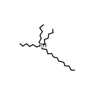 CCCCCCCCCCCC[PH](CCCCCC)(CCCCCC)CCCCCC